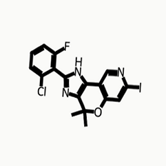 CC1(C)Oc2cc(I)ncc2-c2[nH]c(-c3c(F)cccc3Cl)nc21